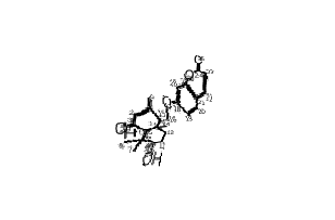 CC1=CC(=O)[C@@H]2C(C)(C)[C@H](O)CC[C@@]2(C)[C@H]1COc1ccc2ccc(=O)oc2c1